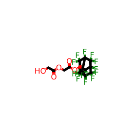 O=C(CO)OCC(=O)OC12C(F)(F)C3(F)C(F)(F)C(F)(C(F)(F)C(F)(C3(F)F)C1(F)F)C2(F)F